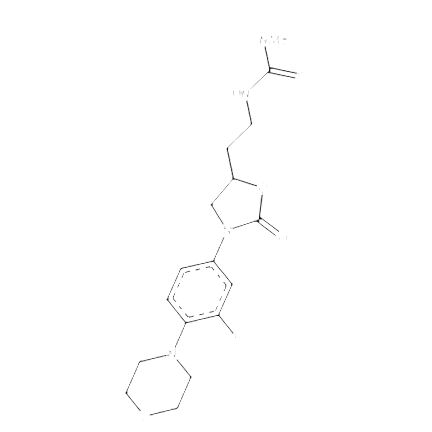 CNC(=S)NCCC1CN(c2ccc(N3CCSCC3)c(F)c2)C(=O)O1